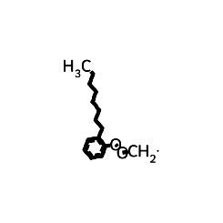 [CH2]OOc1ccccc1CCCCCCCC